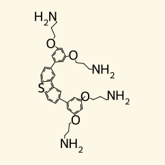 NCCCOc1cc(OCCCN)cc(-c2ccc3sc4ccc(-c5cc(OCCCN)cc(OCCCN)c5)cc4c3c2)c1